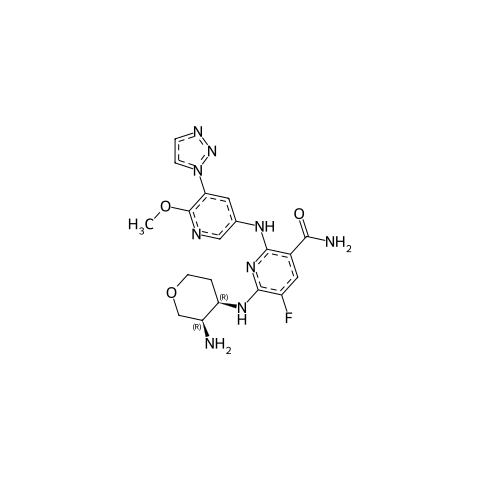 COc1ncc(Nc2nc(N[C@@H]3CCOC[C@@H]3N)c(F)cc2C(N)=O)cc1-n1ccnn1